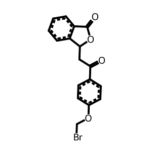 O=C(CC1OC(=O)c2ccccc21)c1ccc(OCBr)cc1